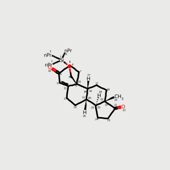 CCC[Si](CCC)(CCC)OC[C@]12CCC(=O)C=C1CC[C@@H]1[C@H]2CC[C@]2(C)C(=O)CC[C@@H]12